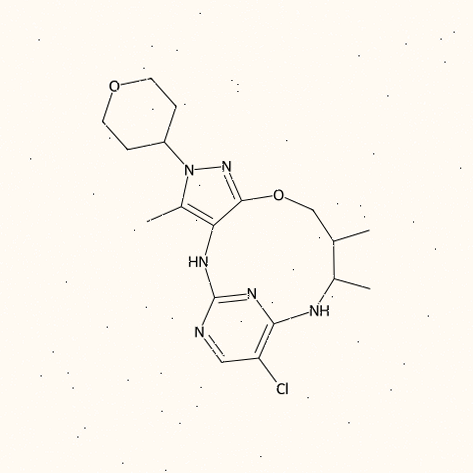 Cc1c2c(nn1C1CCOCC1)OCC(C)C(C)Nc1nc(ncc1Cl)N2